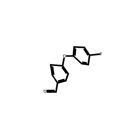 O=Cc1ccc(Oc2ccc(F)cc2)cc1